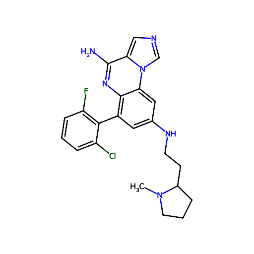 CN1CCCC1CCNc1cc(-c2c(F)cccc2Cl)c2nc(N)c3cncn3c2c1